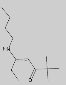 CCCCNC(=CC(=O)C(C)(C)C)CC